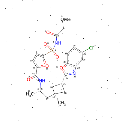 COCC(=O)NS(=O)(=O)c1ccc(C(=O)N[C@@H](C)C[C@]2(C)C[C@@H](c3nc4cc(Cl)ccc4o3)C2)o1